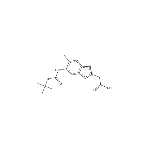 Cc1cc2nn(CC(=O)O)cc2cc1NC(=O)OC(C)(C)C